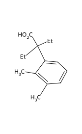 CCC(CC)(C(=O)O)c1cccc(C)c1C